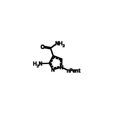 CCCCCn1cc(C(N)=O)c(N)n1